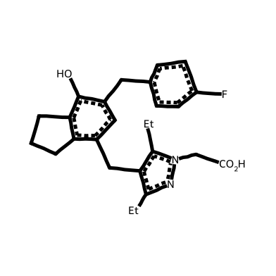 CCc1nn(CC(=O)O)c(CC)c1Cc1cc(Cc2ccc(F)cc2)c(O)c2c1CCC2